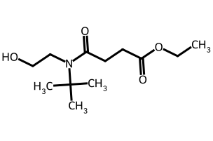 CCOC(=O)CCC(=O)N(CCO)C(C)(C)C